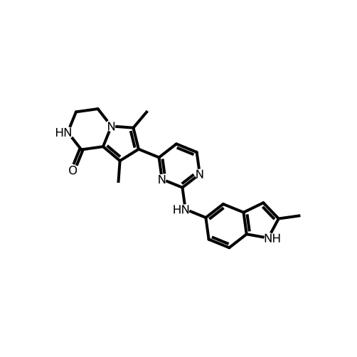 Cc1cc2cc(Nc3nccc(-c4c(C)c5n(c4C)CCNC5=O)n3)ccc2[nH]1